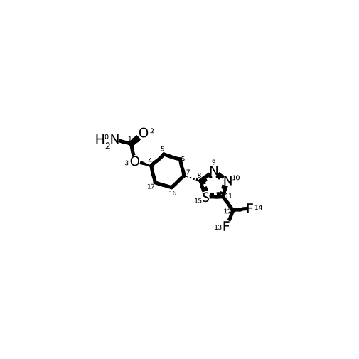 NC(=O)O[C@H]1CC[C@H](c2nnc(C(F)F)s2)CC1